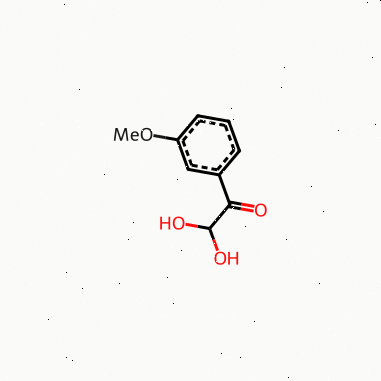 COc1cccc(C(=O)C(O)O)c1